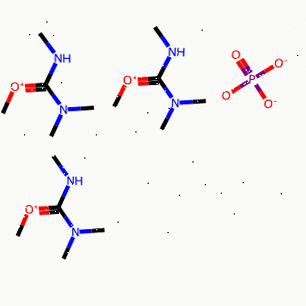 CNC(=[O+]C)N(C)C.CNC(=[O+]C)N(C)C.CNC(=[O+]C)N(C)C.O=P([O-])([O-])[O-]